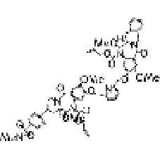 C=CCOC(=O)N1c2cc(OCc3cccc(COc4cc5c(cc4OC)C(=O)N4Cc6ccccc6C[C@H]4C(OC)N5C(=O)OCC=C)n3)c(OC)cc2C(=O)N2CC=C(c3ccc(S(=O)(=O)NC)cc3)C[C@H]2C1OC